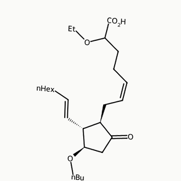 CCCCCC/C=C/[C@H]1[C@H](OCCCC)CC(=O)[C@@H]1C/C=C\CCC(OCC)C(=O)O